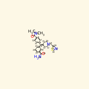 CN(C)C(=O)c1ccc(C(=C2CCN(Cc3cncs3)CC2)c2cccc(C(N)=O)c2)cc1